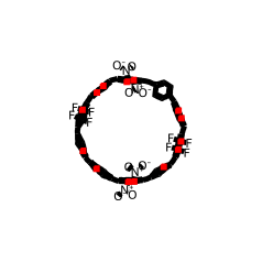 O=[N+]([O-])c1cc2c([N+](=O)[O-])cc1-c1ccc(cc1)-c1ccc(cc1)-c1c(F)c(F)c(c(F)c1F)-c1ccc(cc1)-c1cc([N+](=O)[O-])c(cc1[N+](=O)[O-])-c1ccc(cc1)-c1ccc(cc1)-c1c(F)c(F)c(c(F)c1F)-c1ccc-2cc1